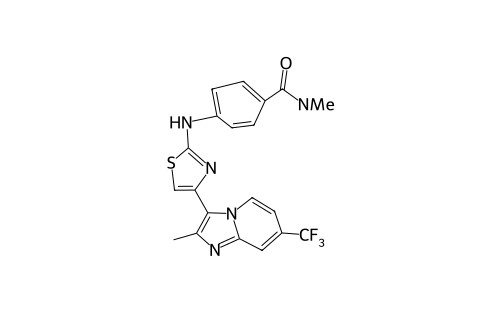 CNC(=O)c1ccc(Nc2nc(-c3c(C)nc4cc(C(F)(F)F)ccn34)cs2)cc1